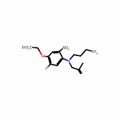 C=C(C)CN(CCCC(F)(F)F)c1cc(F)c(OCC(=O)OCC)cc1[N+](=O)[O-]